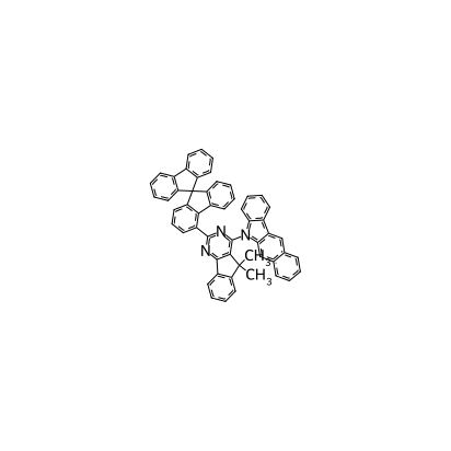 CC1(C)c2ccccc2-c2nc(-c3cccc4c3-c3ccccc3C43c4ccccc4-c4ccccc43)nc(-n3c4ccccc4c4cc5ccccc5cc43)c21